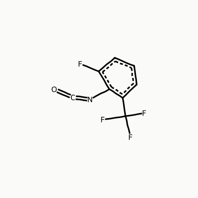 O=C=Nc1c(F)cccc1C(F)(F)F